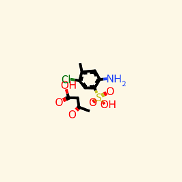 CC(=O)CC(=O)O.Cc1cc(N)c(S(=O)(=O)O)cc1Cl